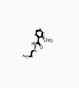 N#CCCSNC(=O)c1ccccc1C=O